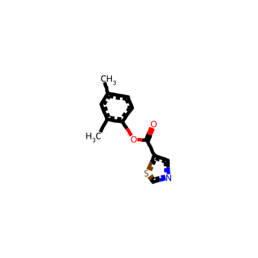 Cc1ccc(OC(=O)c2cncs2)c(C)c1